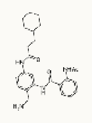 CC(=O)Nc1ccccc1C(=O)Nc1cc(NC(=O)CCC2CCCCC2)ccc1CN